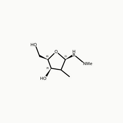 CNB[C@@H]1O[C@H](CO)[C@H](O)C1C